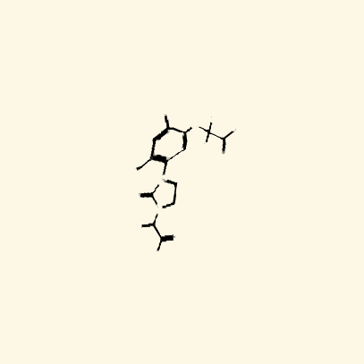 CC(C(=O)O)N1CCN(c2cc(OC(F)(F)C(F)F)c(Cl)cc2Cl)C1=O